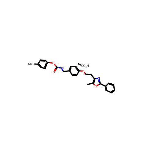 CC(=O)O.COc1ccc(OC(=O)NCc2ccc(OCCc3nc(-c4ccccc4)oc3C)cc2)cc1